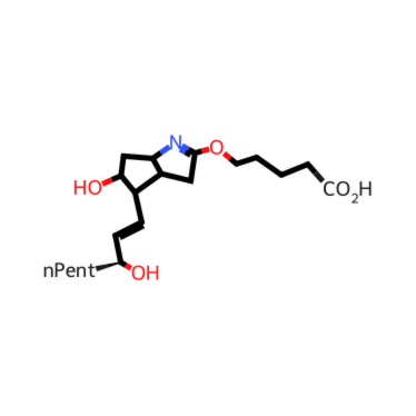 CCCCC[C@H](O)C=CC1C(O)CC2N=C(OCCCCC(=O)O)CC21